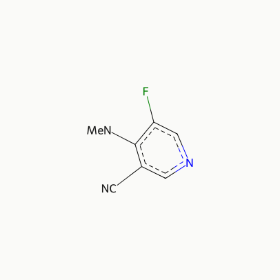 CNc1c(F)cncc1C#N